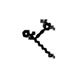 C=C[C@@H](C#CC#C[C@@H](CCCCCCCCC)NC(=O)c1ccccn1)OC(C)=O